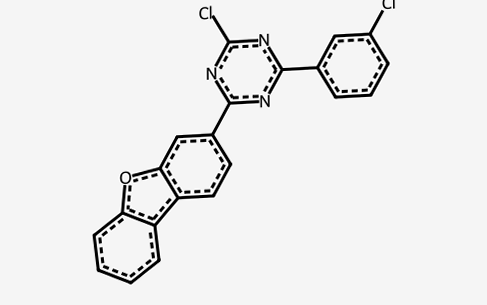 Clc1cccc(-c2nc(Cl)nc(-c3ccc4c(c3)oc3ccccc34)n2)c1